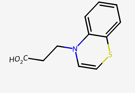 O=C(O)CCN1C=CSc2ccccc21